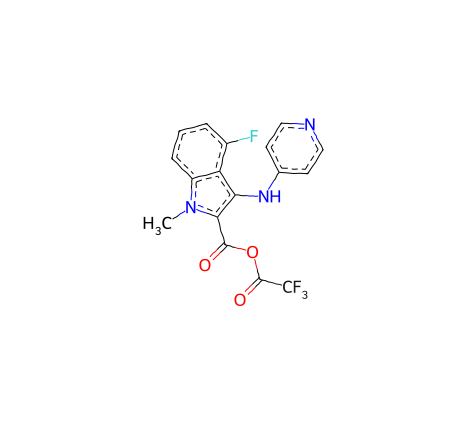 Cn1c(C(=O)OC(=O)C(F)(F)F)c(Nc2ccncc2)c2c(F)cccc21